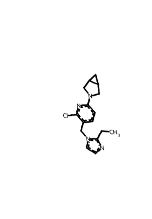 CCc1nccn1Cc1ccc(N2CC3CC3C2)nc1Cl